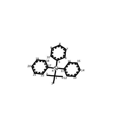 CC(C)(C)[Si](c1ccccc1)(c1ccccc1)c1ccccc1